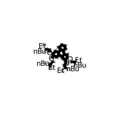 CCCCC(CC)COc1cc2c3ccccc3c3cc(OCC(CC)CCCC)c(OCC(CC)CCCC)cc3c2cc1OCC(CC)CCCC